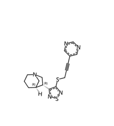 C(#Cc1cncnc1)CSc1nsnc1[C@H]1CN2CCC[C@H]1C2